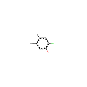 CCC(C)c1cc(Cl)c(O)cc1C